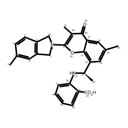 Cc1ccc2c(c1)CN(c1oc3c([C@@H](C)Nc4ccccc4C(=O)O)cc(C)cc3c(=O)c1C)C2